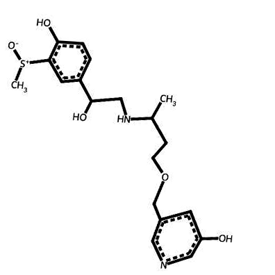 CC(CCOCc1cncc(O)c1)NCC(O)c1ccc(O)c([S+](C)[O-])c1